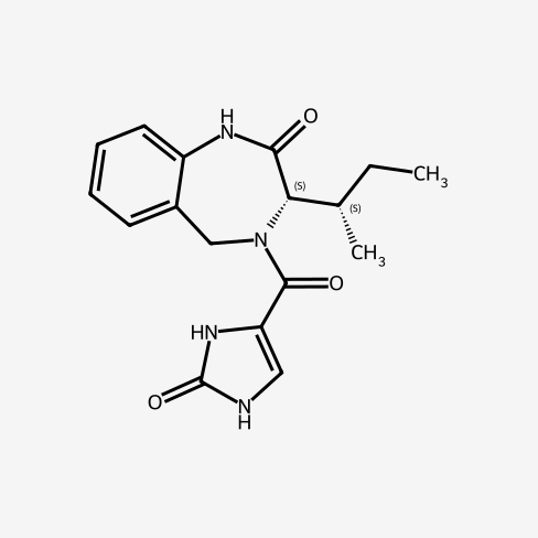 CC[C@H](C)[C@H]1C(=O)Nc2ccccc2CN1C(=O)c1c[nH]c(=O)[nH]1